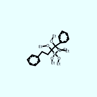 CCOC(OCC)(c1ccccc1)C(CCc1ccccc1)(OCC)[Si](OCC)(OCC)OCC